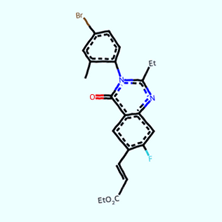 CCOC(=O)/C=C/c1cc2c(=O)n(-c3ccc(Br)cc3C)c(CC)nc2cc1F